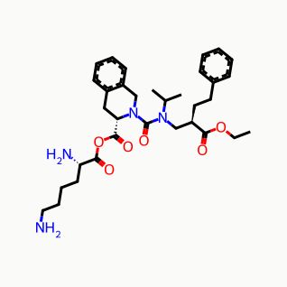 CCOC(=O)[C@H](CCc1ccccc1)CN(C(=O)N1Cc2ccccc2C[C@H]1C(=O)OC(=O)[C@@H](N)CCCCN)C(C)C